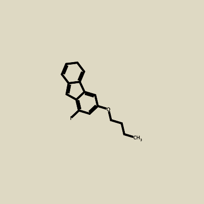 CCCCOc1cc(I)c2c(c1)C1=CCC=CC1=C2